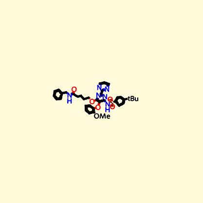 COc1ccccc1Oc1c(NS(=O)(=O)c2ccc(C(C)(C)C)cc2)nc(-c2ncccn2)nc1OCCCCC(=O)NCc1ccccc1